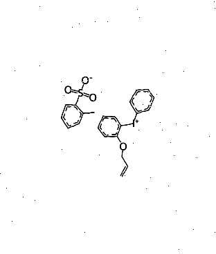 C=CCOc1ccccc1[I+]c1ccccc1.Cc1ccccc1S(=O)(=O)[O-]